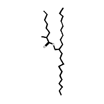 CCCCCCCCCCCC(CCCCCCCCC)COC(=O)C(C)CCCCCC